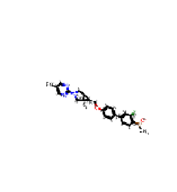 CCc1cnc(N2CC3[C@@H](COc4ccc(-c5ccc([S+](C)[O-])c(F)c5)cc4)[C@@H]3C2)nc1